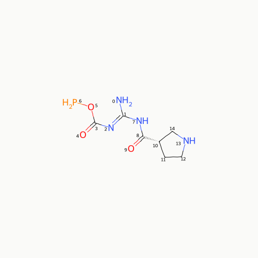 NC(=NC(=O)OP)NC(=O)[C@H]1CCNC1